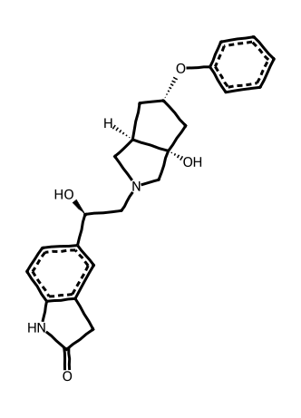 O=C1Cc2cc([C@@H](O)CN3C[C@H]4C[C@H](Oc5ccccc5)C[C@@]4(O)C3)ccc2N1